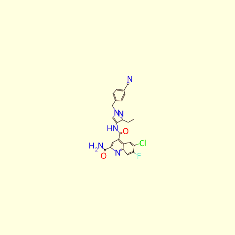 CCc1nn(Cc2ccc(C#N)cc2)cc1NC(=O)c1cc(C(N)=O)nc2cc(F)c(Cl)cc12